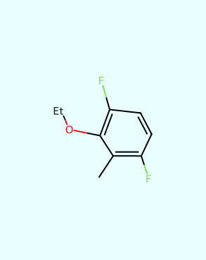 CCOc1c(F)ccc(F)c1C